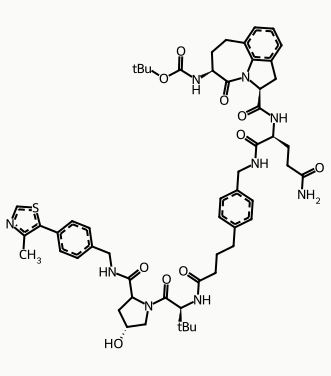 Cc1ncsc1-c1ccc(CNC(=O)C2C[C@@H](O)CN2C(=O)[C@@H](NC(=O)CCCc2ccc(CNC(=O)[C@H](CCC(N)=O)NC(=O)[C@@H]3Cc4cccc5c4N3C(=O)[C@@H](NC(=O)OC(C)(C)C)CC5)cc2)C(C)(C)C)cc1